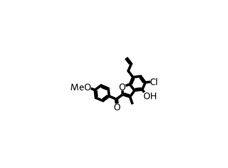 C=CCc1cc(Cl)c(O)c2c(C)c(C(=O)c3ccc(OC)cc3)oc12